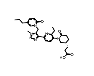 CCCc1ccc(=O)n(Cc2c(-c3ccc(N4C[C@@H](CCC(=O)O)CCC4=O)c(CC)n3)nnn2C)c1